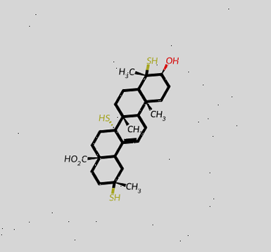 C[C@@]1(S)CC[C@]2(C(=O)O)CC[C@]3(S)C(=CCC4[C@@]5(C)CC[C@H](O)[C@@](C)(S)C5CC[C@]43C)C2C1